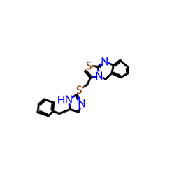 C1=C(CSC2=NCC(Cc3ccccc3)N2)N2Cc3ccccc3N=C2S1